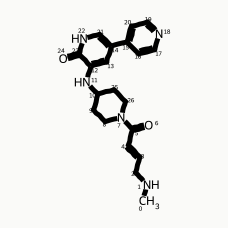 CNCC=CC(=O)N1CCC(Nc2cc(-c3ccncc3)c[nH]c2=O)CC1